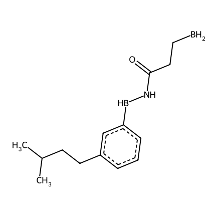 BCCC(=O)NBc1cccc(CCC(C)C)c1